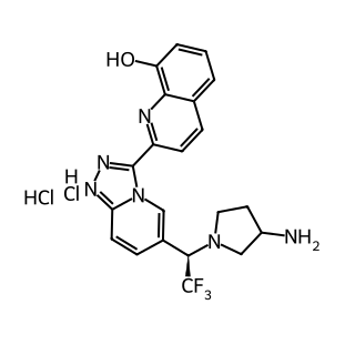 Cl.Cl.NC1CCN([C@H](c2ccc3nnc(-c4ccc5cccc(O)c5n4)n3c2)C(F)(F)F)C1